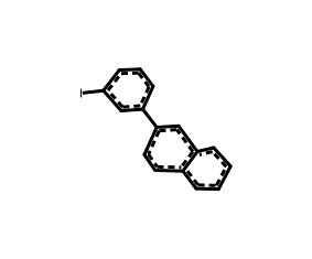 Ic1cccc(-c2ccc3ccccc3c2)c1